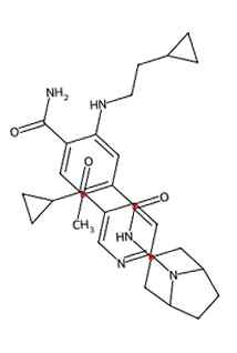 Cc1cc(C(N)=O)c(NCCC2CC2)cc1C(=O)NC1CC2CCC(C1)N2c1ccc(C(=O)C2CC2)cn1